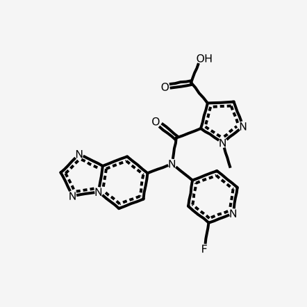 Cn1ncc(C(=O)O)c1C(=O)N(c1ccnc(F)c1)c1ccn2ncnc2c1